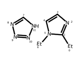 CCc1nccn1CC.c1nnn[nH]1